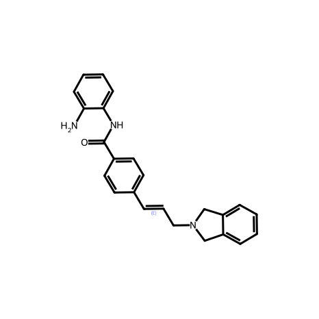 Nc1ccccc1NC(=O)c1ccc(/C=C/CN2Cc3ccccc3C2)cc1